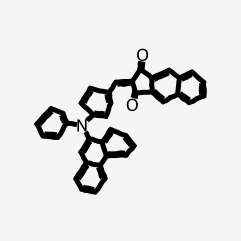 O=C1C(=Cc2ccc(N(c3ccccc3)c3cc4ccccc4c4ccccc34)cc2)C(=O)c2cc3ccccc3cc21